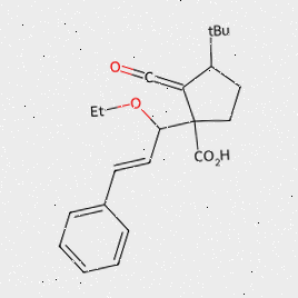 CCOC(C=Cc1ccccc1)C1(C(=O)O)CCC(C(C)(C)C)C1=C=O